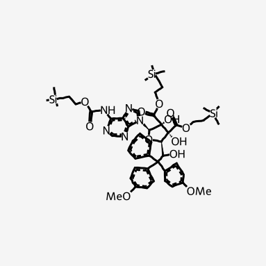 COc1ccc(C(c2ccccc2)(c2ccc(OC)cc2)C(O)[C@H]2O[C@@H](n3cnc4c(NC(=O)OCC[Si](C)(C)C)ncnc43)[C@@](O)(C(=O)OCC[Si](C)(C)C)[C@@]2(O)C(=O)OCC[Si](C)(C)C)cc1